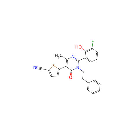 Cc1nc(-c2cccc(F)c2O)n(CCc2ccccc2)c(=O)c1-c1ccc(C#N)s1